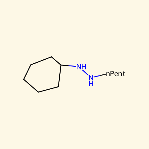 CCCCCNNC1CCCCC1